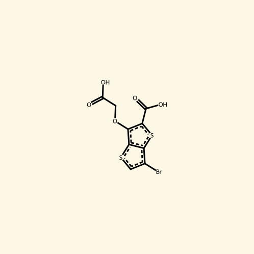 O=C(O)COc1c(C(=O)O)sc2c(Br)csc12